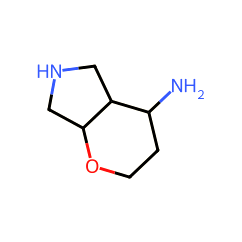 NC1CCOC2CNCC12